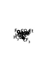 CCOC(=O)C1=C(CN2CC(F)(F)C[C@H]2C(=O)O)NC(c2nc(C(F)(F)F)cn2C)=N[C@H]1c1ccc(F)cc1Cl